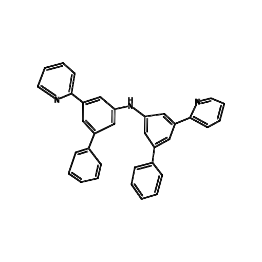 c1ccc(-c2cc(Nc3cc(-c4ccccc4)cc(-c4ccccn4)c3)cc(-c3ccccn3)c2)cc1